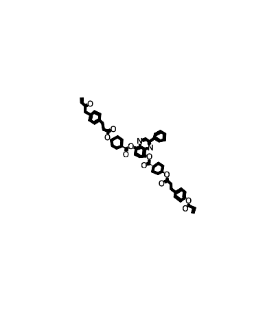 C=CC(=O)Cc1ccc(CCC(=O)O[C@H]2CC[C@H](C(=O)Oc3ccc(OC(=O)[C@H]4CC[C@H](OC(=O)CCc5ccc(OC(=O)C=C)cc5)CC4)c4nc(-c5ccccc5)cnc34)CC2)cc1